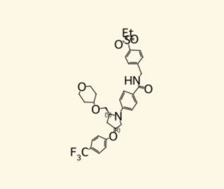 CCS(=O)(=O)c1ccc(CNC(=O)c2ccc(N3C[C@H](Oc4ccc(C(F)(F)F)cc4)C[C@H]3COC3CCOCC3)cc2)cc1